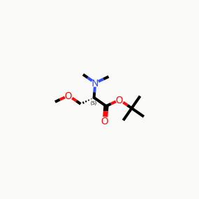 COC[C@@H](C(=O)OC(C)(C)C)N(C)C